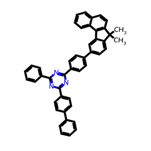 CC1(C)c2ccc(-c3ccc(-c4nc(-c5ccccc5)nc(-c5ccc(-c6ccccc6)cc5)n4)cc3)cc2-c2c1ccc1ccccc21